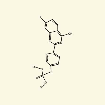 CCOP(=O)(Cc1ccc(-c2nc(O)c3ccc(F)cc3n2)cc1)OCC